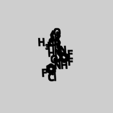 CN1CCOCC1CNc1nc2c(F)c(F)cc(C(=O)Nc3ccc(F)c(Cl)c3)c2[nH]1